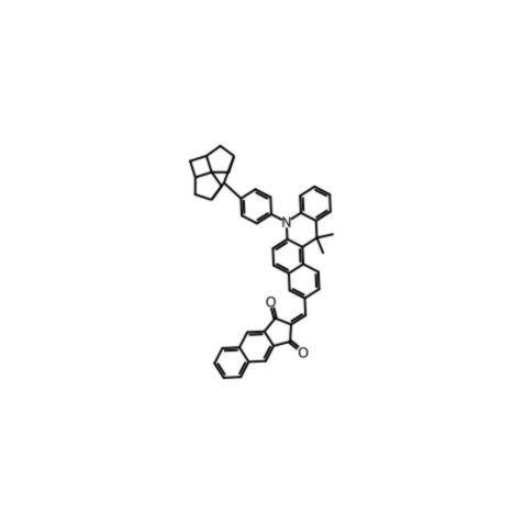 CC1(C)c2ccccc2N(c2ccc(C3C4CC5CC6CC3CC56C4)cc2)c2ccc3cc(C=C4C(=O)c5cc6ccccc6cc5C4=O)ccc3c21